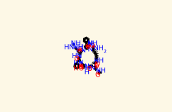 CC(=O)NCC(=O)NC1CC(=O)NCCCCC(C(N)=O)NC(=O)C(Cc2c[nH]c3ccccc23)NC(=O)[C@H](CCCNC(=N)N)NC(=O)C(Cc2ccccc2)NC(=O)C(CO)NC1=O